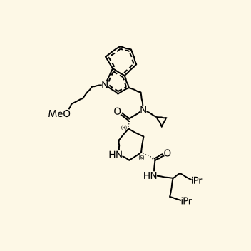 COCCCn1cc(CN(C(=O)[C@H]2CNC[C@@H](C(=O)NC(CC(C)C)CC(C)C)C2)C2CC2)c2ccccc21